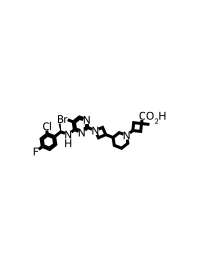 C[C@@H](Nc1nc(N2CC(C3CCCN(C4CC(C)(C(=O)O)C4)C3)C2)ncc1Br)c1ccc(F)cc1Cl